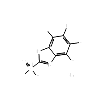 O=[SH]([O-])(F)c1nc2c(F)c(F)c(F)c(F)c2[nH]1.[Na+]